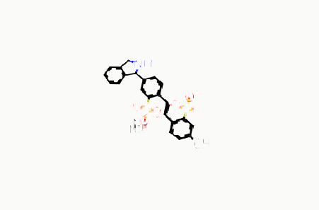 Cc1ccc(C=Cc2ccc(C3NCc4ccccc43)cc2S(=O)(=O)[O-])c(S(=O)(=O)[O-])c1.[Na+].[Na+]